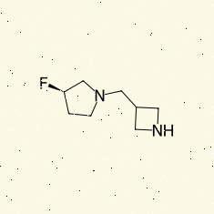 F[C@@H]1CCN(CC2CNC2)C1